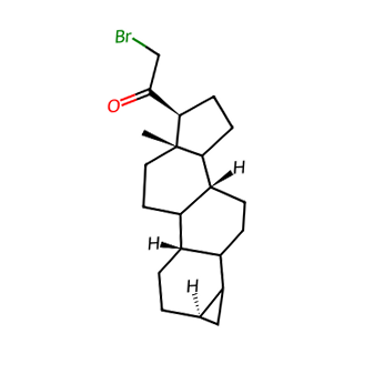 C[C@]12CCC3[C@@H](CCC4C5C[C@H]5CC[C@@H]43)C1CC[C@@H]2C(=O)CBr